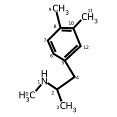 CNC(C)Cc1ccc(C)c(C)c1